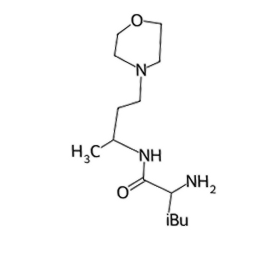 CCC(C)C(N)C(=O)NC(C)CCN1CCOCC1